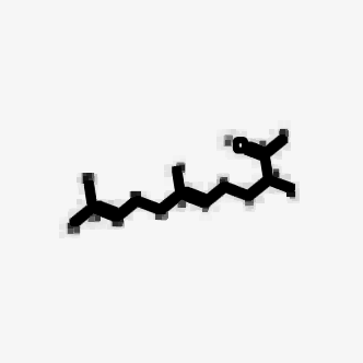 CC(=O)C(C)CC/C=C(\C)CCC=C(C)C